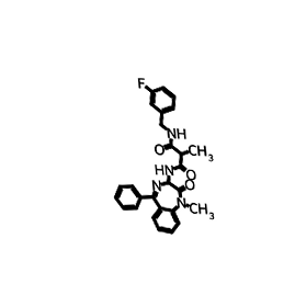 CC(C(=O)NCc1cccc(F)c1)C(=O)NC1N=C(c2ccccc2)c2ccccc2N(C)C1=O